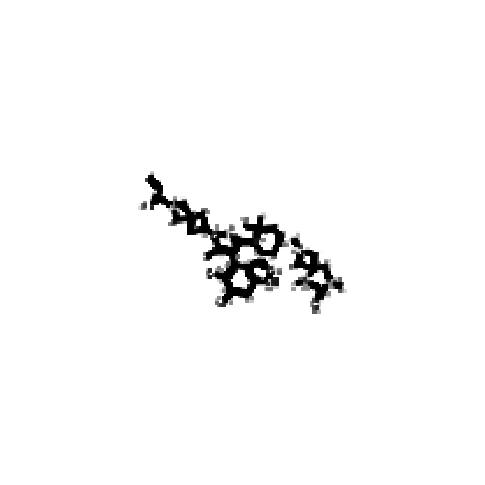 C=CC(=O)N1CC2(CC(n3nc(N4CC[C@@H](CN5CC6(C5)CN(C)C(=O)N6C)CC4(C)C)c(-c4c(Cl)c(Cl)cc5[nH]ncc45)c3C)C2)C1